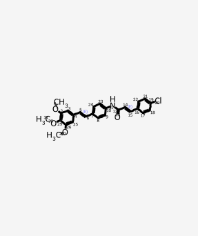 COc1cc(/C=C/c2ccc(NC(=O)/C=C/c3ccc(Cl)cc3)cc2)cc(OC)c1OC